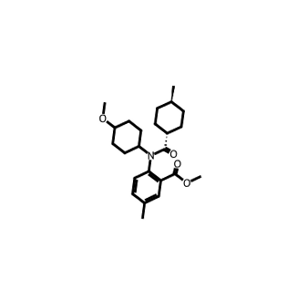 COC(=O)c1cc(C)ccc1N(C(=O)[C@H]1CC[C@H](C)CC1)C1CCC(OC)CC1